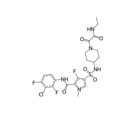 CCNC(=O)C(=O)N1CCC(NS(=O)(=O)c2cn(C)c(C(=O)Nc3ccc(F)c(Cl)c3F)c2F)CC1